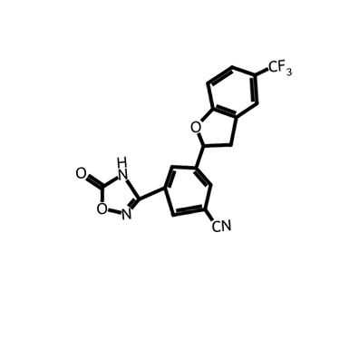 N#Cc1cc(-c2noc(=O)[nH]2)cc(C2Cc3cc(C(F)(F)F)ccc3O2)c1